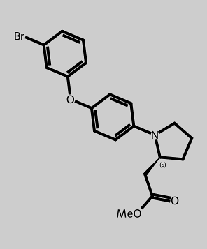 COC(=O)C[C@@H]1CCCN1c1ccc(Oc2cccc(Br)c2)cc1